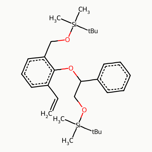 C=Cc1cccc(CO[Si](C)(C)C(C)(C)C)c1OC(CO[Si](C)(C)C(C)(C)C)c1ccccc1